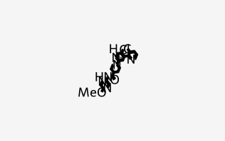 COc1cnc(NC(=O)C2CCN(c3cc(-c4ncccc4C)c(Cl)cn3)CC2)cn1